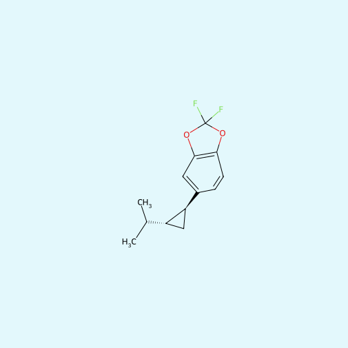 CC(C)[C@H]1C[C@@H]1c1ccc2c(c1)OC(F)(F)O2